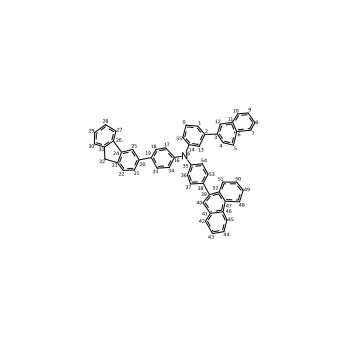 c1cc(-c2ccc3ccccc3c2)cc(N(c2ccc(-c3ccc4c(c3)-c3ccccc3C4)cc2)c2ccc(-c3cc4ccccc4c4ccccc34)cc2)c1